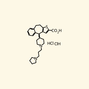 Cl.Cl.O=C(O)c1cc2c(s1)CCc1ccccc1C2=C1CCN(CCCN2CCCC2)CC1